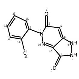 O=c1[nH][nH]c2cc(=O)n(-c3ccccc3Cl)nc12